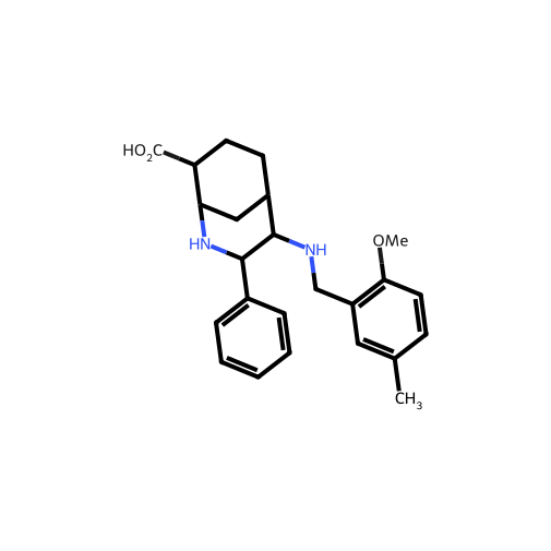 COc1ccc(C)cc1CNC1C2CCC(C(=O)O)C(C2)NC1c1ccccc1